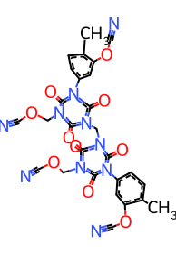 Cc1ccc(-n2c(=O)n(COC#N)c(=O)n(Cn3c(=O)n(COC#N)c(=O)n(-c4ccc(C)c(OC#N)c4)c3=O)c2=O)cc1OC#N